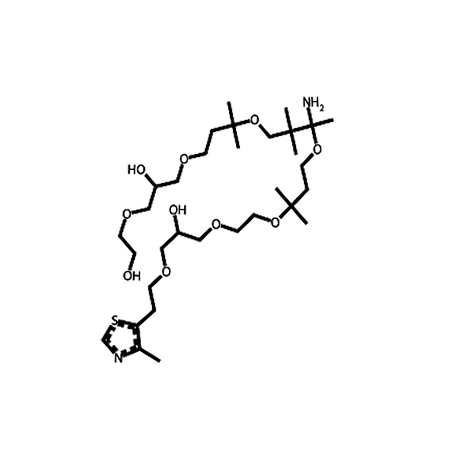 Cc1ncsc1CCOCC(O)COCCOC(C)(C)CCOC(C)(N)C(C)(C)COC(C)(C)CCOCC(O)COCCO